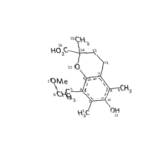 COC.Cc1c(C)c2c(c(C)c1O)CCC(C)(C(=O)O)O2